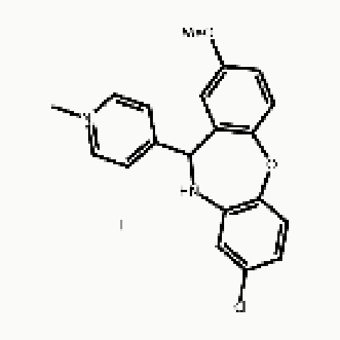 COc1ccc2c(c1)C(c1cc[n+](C)cc1)Nc1cc(Cl)ccc1O2.[I-]